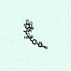 CC(CONC(=O)CC1CCN(c2ccc(C#N)cn2)CC1)Nc1cn[nH]c(=O)c1C(F)(F)F